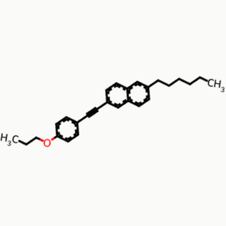 CCCCCCc1ccc2cc(C#Cc3ccc(OCCC)cc3)ccc2c1